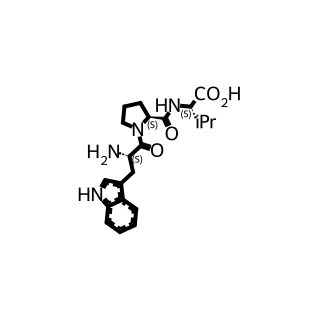 CC(C)[C@H](NC(=O)[C@@H]1CCCN1C(=O)[C@@H](N)Cc1c[nH]c2ccccc12)C(=O)O